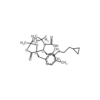 Cc1cnc(C[C@]2([C@H](CC(C)C)N(C(=O)O)C(C)(C)C)OC(C)(C)OC2=O)cc1CCCC1CC1